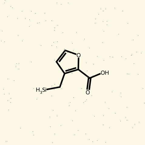 O=C(O)c1occc1C[SiH3]